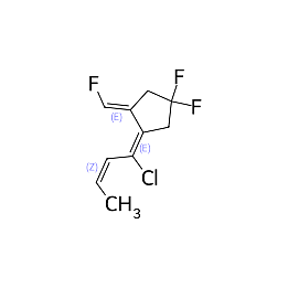 C\C=C/C(Cl)=C1/CC(F)(F)C/C1=C\F